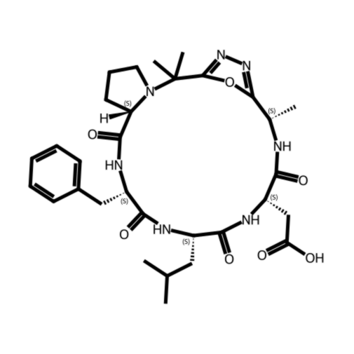 CC(C)C[C@@H]1NC(=O)[C@H](Cc2ccccc2)NC(=O)[C@@H]2CCCN2C(C)(C)c2nnc(o2)[C@H](C)NC(=O)[C@H](CC(=O)O)NC1=O